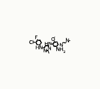 COc1cc(N(C)CCN(C)C)c(N)cc1Nc1cc(Nc2ccc(F)c(Cl)c2)nc(C)n1